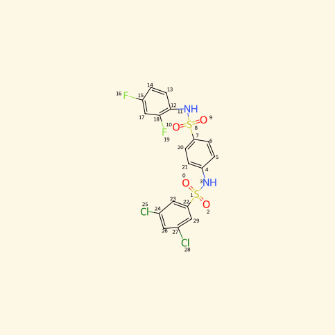 O=S(=O)(Nc1ccc(S(=O)(=O)Nc2ccc(F)cc2F)cc1)c1cc(Cl)cc(Cl)c1